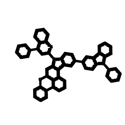 c1ccc(-c2cc(-n3c4ccc(-c5ccc6c(c5)c5ccccc5n6-c5ccccc5)cc4c4c5cccc6c5c(cc43)Oc3ccccc3-6)nc3ccccc23)cc1